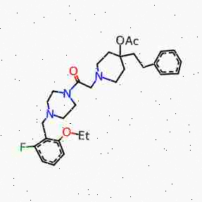 CCOc1cccc(F)c1CN1CCN(C(=O)CN2CCC(CCc3ccccc3)(OC(C)=O)CC2)CC1